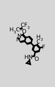 Cc1c(F)cc(C(=O)NC2CC2)cc1-c1ccc2c(O[C@@H](C)C(F)(F)F)nncc2c1